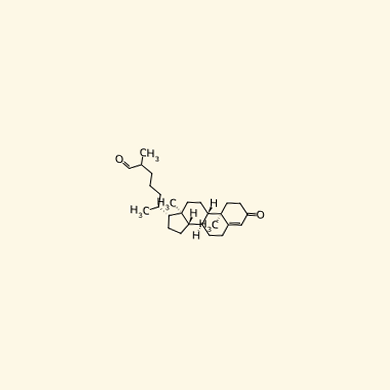 CC(C=O)CCCC(C)[C@H]1CC[C@H]2[C@@H]3CCC4=CC(=O)CC[C@]4(C)[C@H]3CC[C@]12C